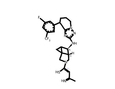 CC(=N)/C=C(\S)N1C[C@H]2[C@H](Nc3nc4n(n3)CCCC4c3cc(F)cc(C(F)(F)F)c3)C3CC32C1